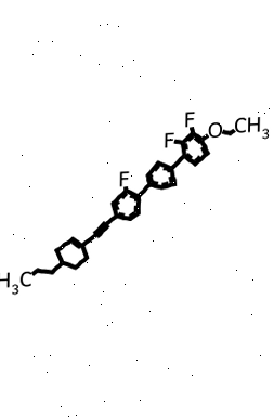 CCCC1CC=C(C#Cc2ccc(-c3ccc(-c4ccc(OCC)c(F)c4F)cc3)c(F)c2)CC1